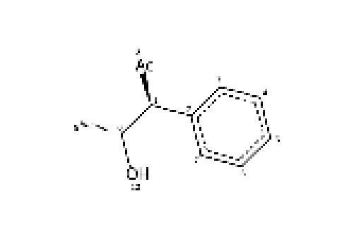 CC(=O)[C@@H](c1ccccc1)[C@@H](C)O